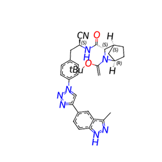 C=C(OC(C)(C)C)N1[C@@H]2CC[C@@H](C2)[C@H]1C(=O)N[C@H](C#N)Cc1ccc(-n2cc(-c3ccc4[nH]nc(C)c4c3)nn2)cc1